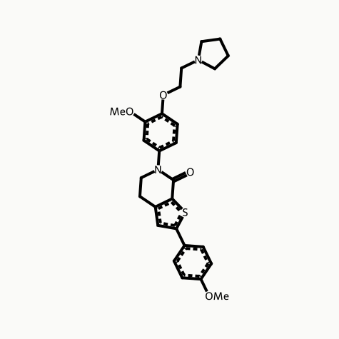 COc1ccc(-c2cc3c(s2)C(=O)N(c2ccc(OCCN4CCCC4)c(OC)c2)CC3)cc1